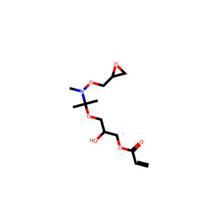 C=CC(=O)OCC(O)COC(C)(C)N(C)OCC1CO1